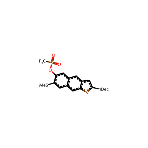 CCCCCCCCCCc1cc2cc3cc(OS(=O)(=O)C(F)(F)F)c(SC)cc3cc2s1